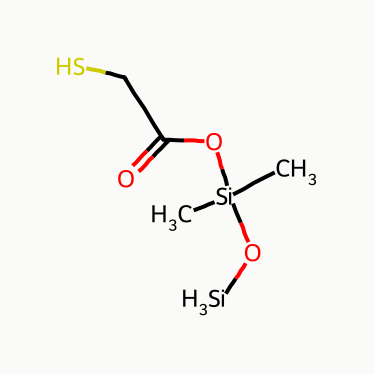 C[Si](C)(O[SiH3])OC(=O)CS